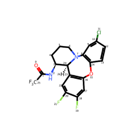 O=C(N[C@H]1CCCN2c3cc(Cl)ccc3Oc3cc(F)c(F)cc3[C@@H]12)C(F)(F)F